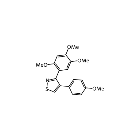 COc1ccc(-c2csnc2-c2cc(OC)c(OC)cc2OC)cc1